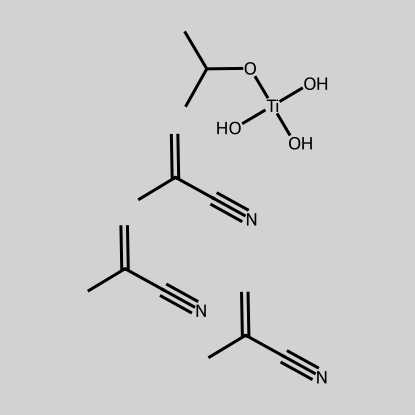 C=C(C)C#N.C=C(C)C#N.C=C(C)C#N.CC(C)[O][Ti]([OH])([OH])[OH]